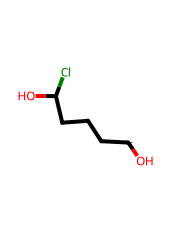 O[CH]CCCC(O)Cl